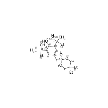 CCC1(CC)COP(=O)(Cc2cc(C(C)(C)CC)c(O)c(C(C)(C)CC)c2)OC1